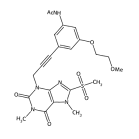 COCCOc1cc(C#CCn2c(=O)n(C)c(=O)c3c2nc(S(C)(=O)=O)n3C)cc(NC(C)=O)c1